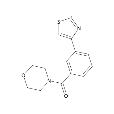 O=C(c1cccc(-c2cs[c]n2)c1)N1CCOCC1